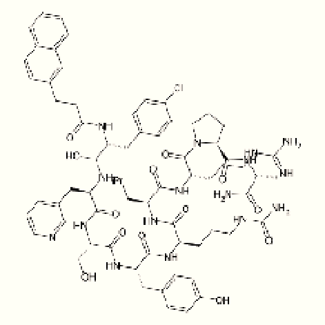 CC(C)C[C@H](NC(=O)[C@@H](CCCNC(N)=O)NC(=O)[C@H](Cc1ccc(O)cc1)NC(=O)[C@H](CO)NC(=O)[C@@H](Cc1cccnc1)NC(O)[C@@H](Cc1ccc(Cl)cc1)NC(=O)CCc1ccc2ccccc2c1)C(=O)N[C@@H](CCCNC(=N)N)C(=O)N1CCC[C@H]1C(=O)N[C@H](C)C(N)=O